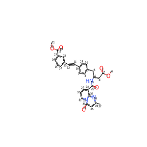 COC(=O)C[C@H](Cc1ccc(C#Cc2cccc(C(=O)OC)c2)cc1)NC(=O)c1cccn2c(=O)cc(C)nc12